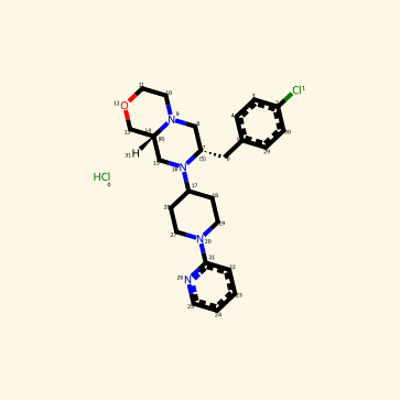 Cl.Clc1ccc(C[C@H]2CN3CCOC[C@H]3CN2C2CCN(c3ccccn3)CC2)cc1